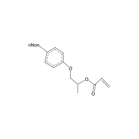 C=CC(=O)OC(C)COc1ccc(CCCCCCCCC)cc1